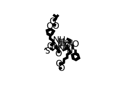 CCNC(=O)[C@H](Cc1ccccc1)N(CCCCCC(=O)OC)C(=O)CNC(=O)[C@@H](CCSC)NC(=O)[C@@H](N)Cc1ccc(OC(=O)OCC(C)C)cc1